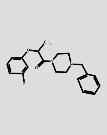 CC(Oc1cccc(F)c1)C(=O)N1CCN(Cc2ccccc2)CC1